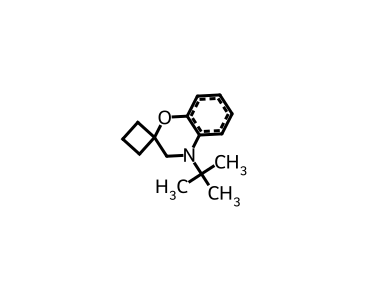 CC(C)(C)N1CC2(CCC2)Oc2ccccc21